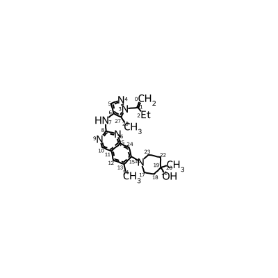 C=C(CC)n1ncc(Nc2ncc3cc(C)c(N4CCC(C)(O)CC4)cc3n2)c1C